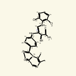 Cc1ncc2nnc(-c3ccc(N/C(=C/Nc4c(Cl)cccc4Cl)C(=N)C(N)=O)cn3)n2c1C